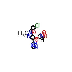 Cc1nc2cc(-c3cn4cccnc4n3)c(O[C@H]3CCN4C(=O)OC[C@@H]4C3)cc2c(=O)n1Cc1ccc(Cl)cc1